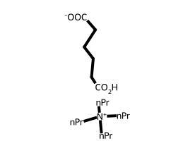 CCC[N+](CCC)(CCC)CCC.O=C([O-])CCCCC(=O)O